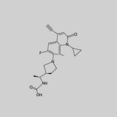 C#Cc1cc(=O)n(C2CC2)c2c(C)c(N3CC[C@@H]([C@H](C)NC(=O)O)C3)c(F)cc12